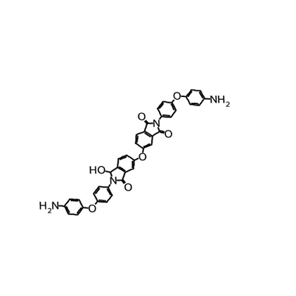 Nc1ccc(Oc2ccc(N3C(=O)c4ccc(Oc5ccc6c(c5)C(=O)N(c5ccc(Oc7ccc(N)cc7)cc5)C6O)cc4C3=O)cc2)cc1